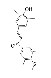 CSc1c(C)cc(C(=O)C=Cc2cc(C)c(O)c(C)c2)cc1C